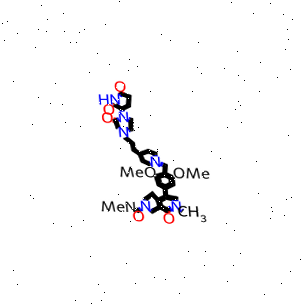 CNC(=O)N1CCc2c(-c3cc(OC)c(CN4CCC(CCCN5CCN(C6CCC(=O)NC6=O)C(=O)C5)CC4)c(OC)c3)cn(C)c(=O)c2C1